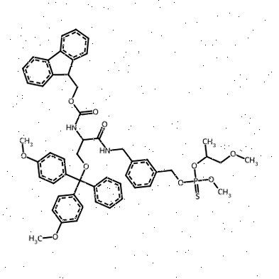 COCC(C)OP(=S)(OC)OCc1cccc(CNC(=O)C(COC(c2ccccc2)(c2ccc(OC)cc2)c2ccc(OC)cc2)NC(=O)OCC2c3ccccc3-c3ccccc32)c1